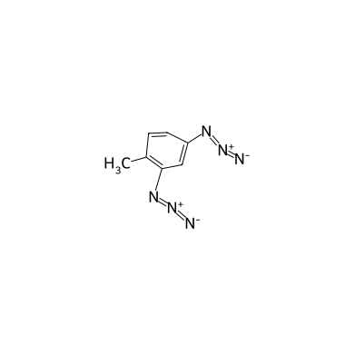 Cc1ccc(N=[N+]=[N-])cc1N=[N+]=[N-]